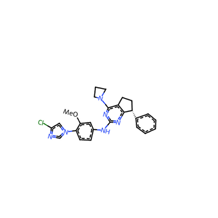 COc1cc(Nc2nc3c(c(N4CCC4)n2)CC[C@@H]3c2ccccc2)ccc1-n1cnc(Cl)c1